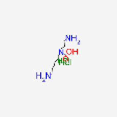 Cl.Cl.NCCCCCCN(CCCN)C(=O)O